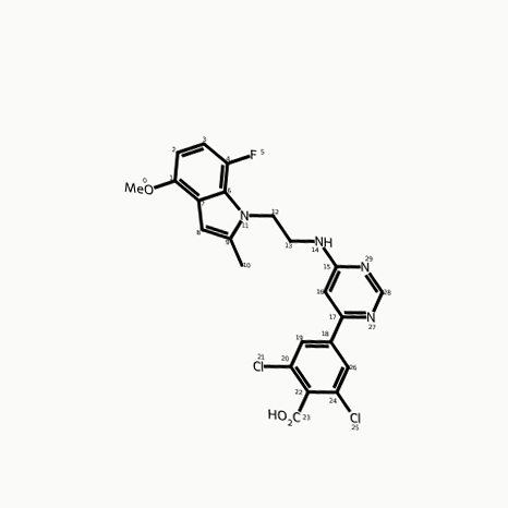 COc1ccc(F)c2c1cc(C)n2CCNc1cc(-c2cc(Cl)c(C(=O)O)c(Cl)c2)ncn1